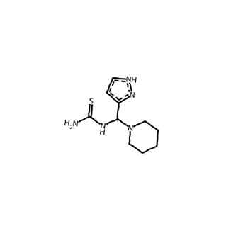 NC(=S)N[C](c1cc[nH]n1)N1CCCCC1